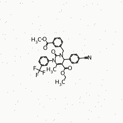 CCOC(=O)C1=C(C)N(c2cccc(C(F)(F)F)c2)C(=O)N(Cc2cccc(C(=O)OC)c2)C1c1ccc(C#N)cc1